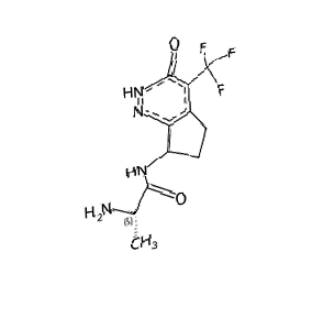 C[C@H](N)C(=O)NC1CCc2c1n[nH]c(=O)c2C(F)(F)F